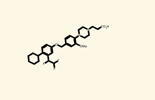 COc1cc(COc2ccc(C3CCCCC3)c(C(F)C(F)F)c2)ccc1N1CCN(CCC(=O)O)CC1